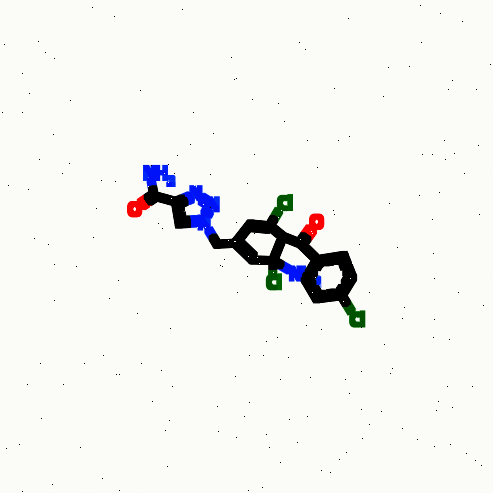 NC(=O)c1cn(CC2=CC(N)(Cl)C(C(=O)c3ccc(Cl)cc3)C(Cl)=C2)nn1